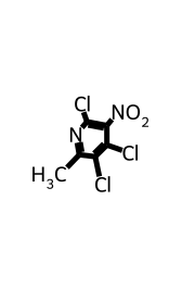 Cc1nc(Cl)c([N+](=O)[O-])c(Cl)c1Cl